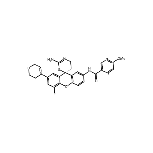 COc1cnc(C(=O)Nc2ccc3c(c2)[C@@]2(CCN=C(N)S2)c2cc(C4=CCOCC4)cc(F)c2O3)cn1